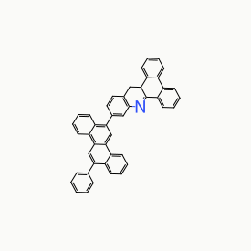 c1ccc(-c2cc3c4ccccc4c(-c4ccc5c(c4)N=C4c6ccccc6-c6ccccc6C4C5)cc3c3ccccc23)cc1